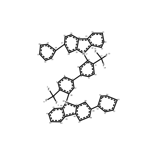 FC(F)(F)c1ccc(-c2ccc(C(F)(F)F)c(-n3c4ccccc4c4ccc(-c5ccccc5)cc43)c2)cc1-n1c2ccccc2c2ccc(-c3ccccc3)cc21